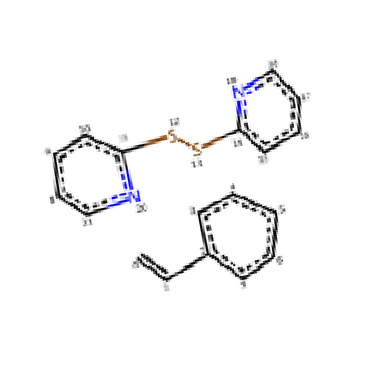 C=Cc1ccccc1.c1ccc(SSc2ccccn2)nc1